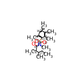 CCC(C)C(C)C(=O)N(C)S(=O)(=O)c1c(C)cc(C)c(C)c1C